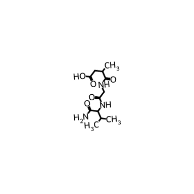 CC(CC(=O)O)C(=O)NCC(=O)NC(C(N)=O)C(C)C